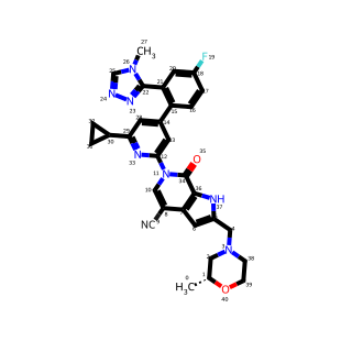 C[C@@H]1CN(Cc2cc3c(C#N)cn(-c4cc(-c5ccc(F)cc5-c5nncn5C)cc(C5CC5)n4)c(=O)c3[nH]2)CCO1